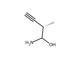 C#C[C@H](C)C(N)O